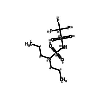 CCCN(CCC)S(=O)(=O)NS(=O)(=O)C(F)(F)F